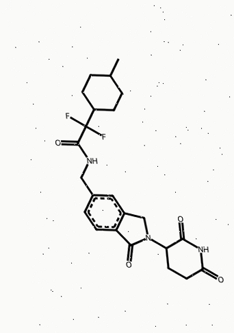 CC1CCC(C(F)(F)C(=O)NCc2ccc3c(c2)CN(C2CCC(=O)NC2=O)C3=O)CC1